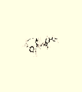 CC(=O)c1nn(CC(=O)N2[C@H]3C[C@@]4(COCC(F)(F)CNCCCc5ccc(Br)nc5NC3=O)C[C@@H]24)c2cnc(-c3cnc(C)nc3)cc12